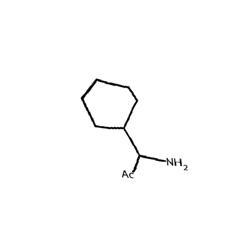 CC(=O)C(N)[C]1CCCCC1